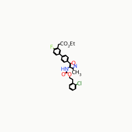 CCOC(=O)Cc1cc(-c2ccc(-c3onc(C)c3NC(=O)OCCc3ccccc3Cl)cc2)ccc1F